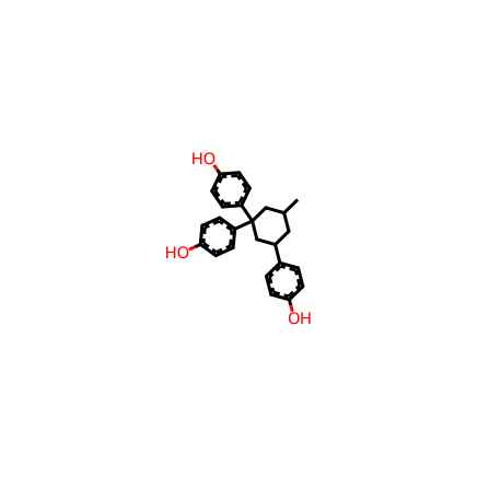 CC1CC(c2ccc(O)cc2)CC(c2ccc(O)cc2)(c2ccc(O)cc2)C1